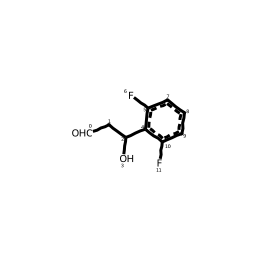 O=CCC(O)c1c(F)cccc1F